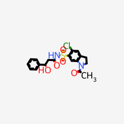 CC(=O)N1CCc2cc(Cl)c(S(=O)(=O)NC(=O)CC(O)c3ccccc3)cc21